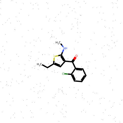 CCc1cc(C(=O)c2ccccc2Cl)c(NC)s1